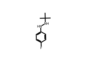 CC(C)(C)NNc1ccc(F)cc1